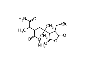 CC(C(N)=O)C(CC(C)(C)C1C(=O)OC(=O)C1CC(C)(C)C)C(=O)ON